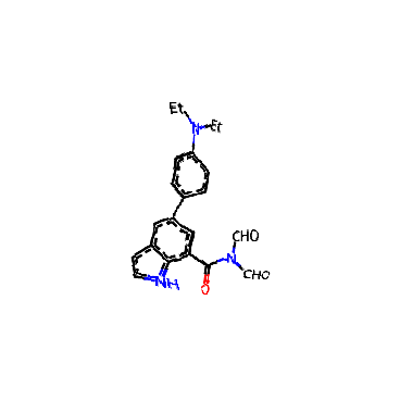 CCN(CC)c1ccc(-c2cc(C(=O)N(C=O)C=O)c3[nH]ccc3c2)cc1